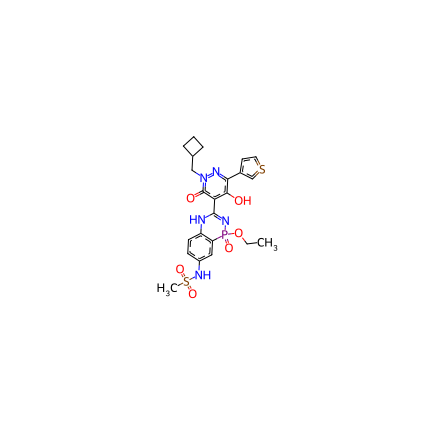 CCOP1(=O)N=C(c2c(O)c(-c3ccsc3)nn(CC3CCC3)c2=O)Nc2ccc(NS(C)(=O)=O)cc21